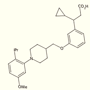 COc1ccc(C(C)C)c(N2CCC(COc3cccc(C(CC(=O)O)C4CC4)c3)CC2)c1